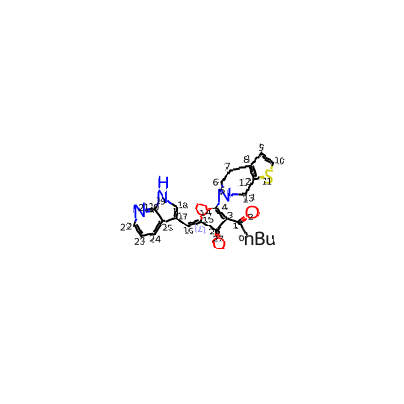 CCCCC(=O)C1=C(N2CCc3ccsc3C2)O/C(=C\c2c[nH]c3ncccc23)C1=O